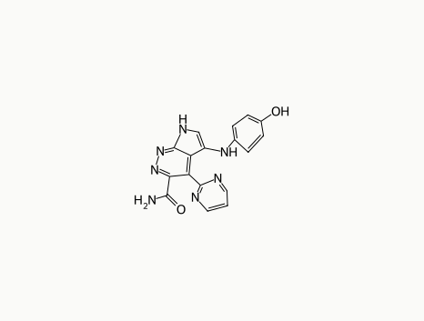 NC(=O)c1nnc2[nH]cc(Nc3ccc(O)cc3)c2c1-c1ncccn1